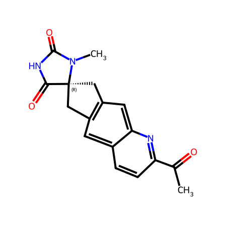 CC(=O)c1ccc2cc3c(cc2n1)C[C@]1(C3)C(=O)NC(=O)N1C